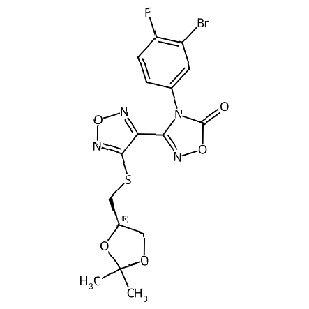 CC1(C)OC[C@H](CSc2nonc2-c2noc(=O)n2-c2ccc(F)c(Br)c2)O1